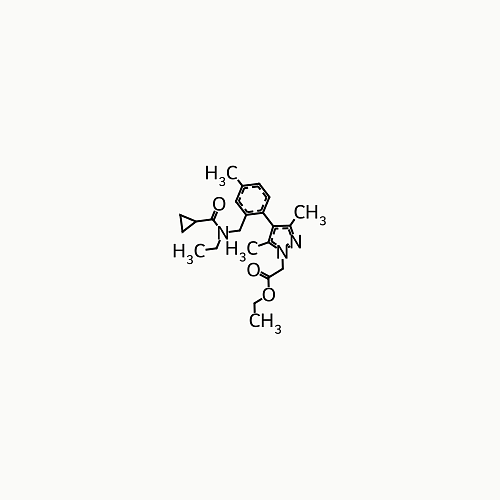 CCOC(=O)Cn1nc(C)c(-c2ccc(C)cc2CN(CC)C(=O)C2CC2)c1C